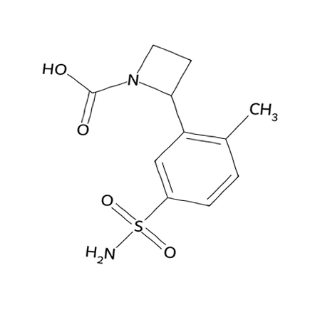 Cc1ccc(S(N)(=O)=O)cc1C1CCN1C(=O)O